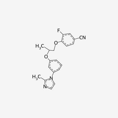 Cc1nccn1-c1cccc(OC(C)COc2ccc(C#N)cc2F)c1